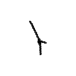 CCCCCCCCCCCCCCCCCCN1C=CN(CCCCCCCCCC)C1CCCCC